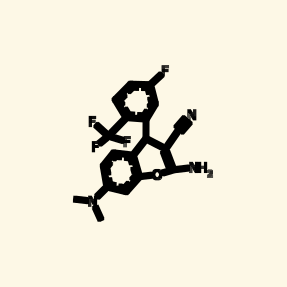 CN(C)c1ccc2c(c1)OC(N)=C(C#N)C2c1cc(F)ccc1C(F)(F)F